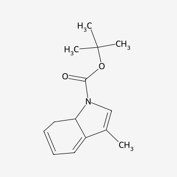 CC1=CN(C(=O)OC(C)(C)C)C2CC=CC=C12